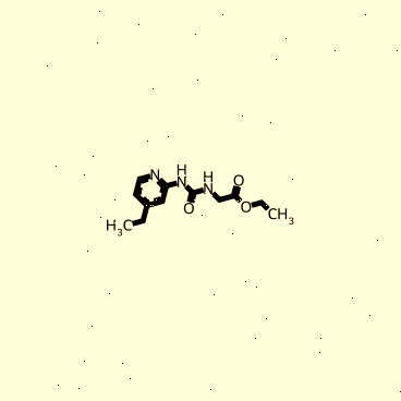 CCOC(=O)CNC(=O)Nc1cc(CC)ccn1